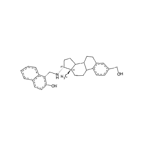 C[C@]12CCC3c4ccc(CO)cc4CCC3C1CC[C@H]2NCc1c(O)ccc2ccccc12